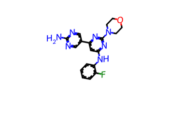 Nc1ncc(-c2cc(Nc3ccccc3F)nc(N3CCOCC3)n2)cn1